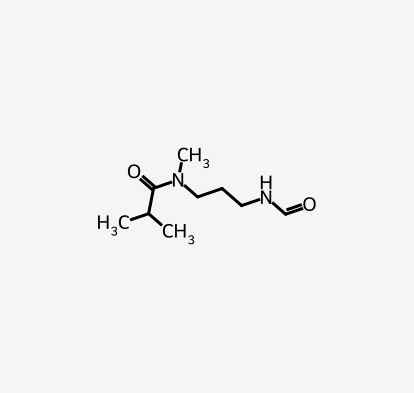 CC(C)C(=O)N(C)CCCNC=O